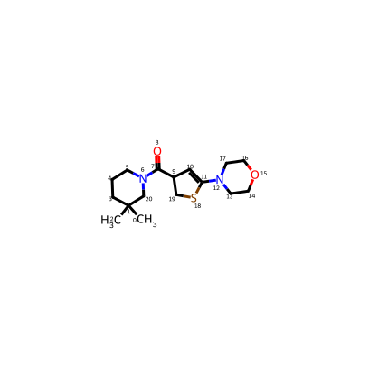 CC1(C)CCCN(C(=O)C2C=C(N3CCOCC3)SC2)C1